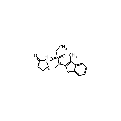 CCS(=O)(=O)N(C[C@@H]1CCC(=O)N1)c1sc2ccccc2c1C